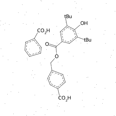 CC(C)(C)c1cc(C(=O)OCc2ccc(C(=O)O)cc2)cc(C(C)(C)C)c1O.O=C(O)c1ccccc1